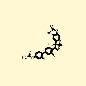 CC(c1ccc(-c2ccc(OC(=O)O)cc2F)cc1Cl)C(O)(c1ccc2oc(=O)n(C)c2c1)C(F)(F)F